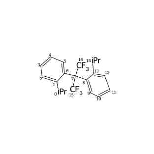 CC(C)c1ccccc1C(c1ccccc1C(C)C)(C(F)(F)F)C(F)(F)F